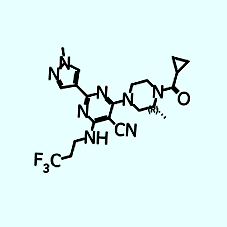 C[C@@H]1CN(c2nc(-c3cnn(C)c3)nc(NCCC(F)(F)F)c2C#N)CCN1C(=O)C1CC1